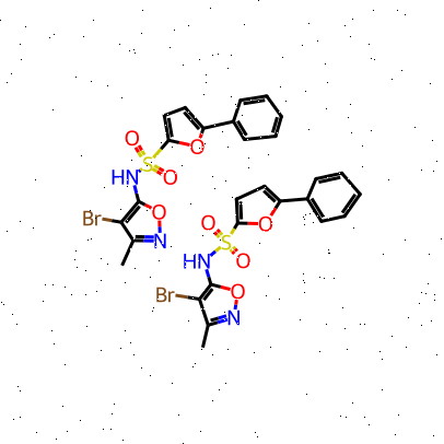 Cc1noc(NS(=O)(=O)c2ccc(-c3ccccc3)o2)c1Br.Cc1noc(NS(=O)(=O)c2ccc(-c3ccccc3)o2)c1Br